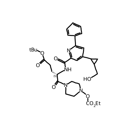 CCOC(=O)ON1CCN(C(=O)[C@H](CCC(=O)OC(C)(C)C)NC(=O)c2cc(C3CC3CO)cc(-c3ccccc3)n2)CC1